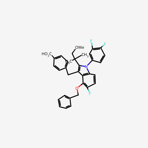 COCC(C)(C)c1c(Cc2ccc(C(=O)O)cc2)c2c(OCc3ccccc3)c(F)ccc2n1-c1ccc(F)c(F)c1